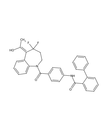 CC(O)=C1c2ccccc2N(C(=O)c2ccc(NC(=O)c3ccccc3-c3ccccc3)cc2)CCC1(F)F